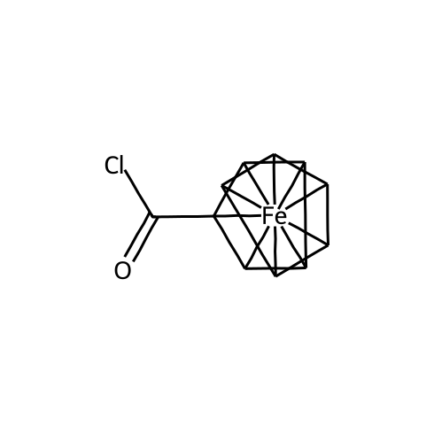 O=C(Cl)[C]12[CH]3[CH]4[CH]5[CH]1[Fe]45321678[CH]2[CH]1[CH]6[CH]7[CH]28